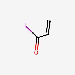 C=CC(=O)I